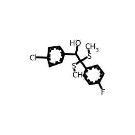 CSC(SC)(c1ccc(F)cc1)C(O)c1ccc(Cl)cc1